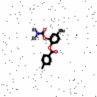 CCN(CC)C(=O)Oc1cc(C(C)(C)C)ccc1OC(=O)c1ccc(C)cc1